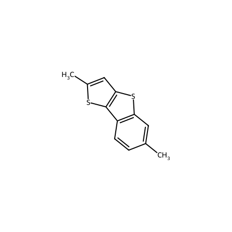 Cc1ccc2c(c1)sc1cc(C)sc12